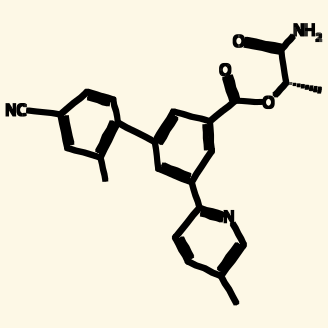 Cc1ccc(-c2cc(C(=O)O[C@@H](C)C(N)=O)cc(-c3ccc(C#N)cc3C)c2)nc1